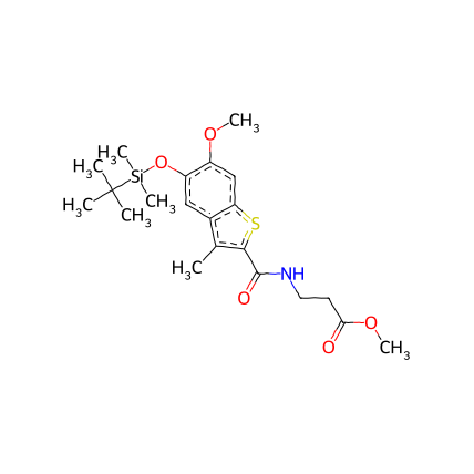 COC(=O)CCNC(=O)c1sc2cc(OC)c(O[Si](C)(C)C(C)(C)C)cc2c1C